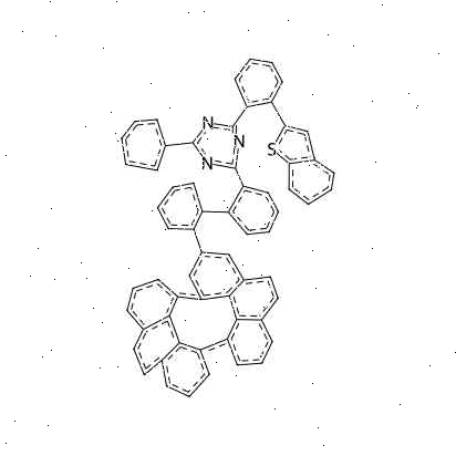 c1ccc(-c2nc(-c3ccccc3-c3cc4ccccc4s3)nc(-c3ccccc3-c3ccccc3-c3cc4ccc5cccc6c7cccc8ccc9cccc(c(c3)c4c56)c9c87)n2)cc1